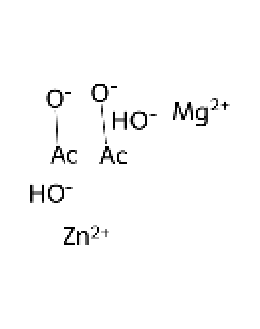 CC(=O)[O-].CC(=O)[O-].[Mg+2].[OH-].[OH-].[Zn+2]